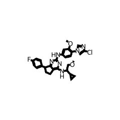 COCC(Nc1nc(Nc2ccc(-n3cnc(Cl)c3)c(OC)c2)nc2c1CCC2c1ccc(F)cc1)C1CC1